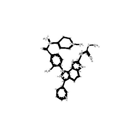 Bc1cc(C(=O)N(C)C2CCN(C)CC2)ccc1-n1nc(-c2cccnc2)c2c1-c1sc(NC(=O)OC)nc1CC2